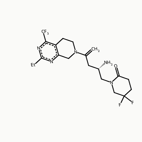 C=C(C[C@H](N)CN1CC(F)(F)CCC1=O)N1CCc2c(nc(CC)nc2C(F)(F)F)C1